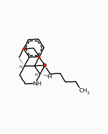 CCCCCOC12CCCC[C@@]13CCN[C@@H]2Cc1ccccc13